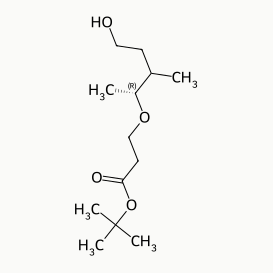 CC(CCO)[C@@H](C)OCCC(=O)OC(C)(C)C